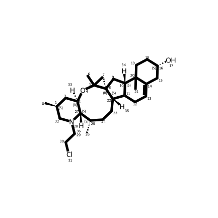 C[C@H]1C[C@H]2OC3(C)C[C@@]34C[C@H]3C(CC=C5C[C@@H](O)CCC53C)[C@@H]4CC[C@H](C)[C@@H]2N(CCCl)C1